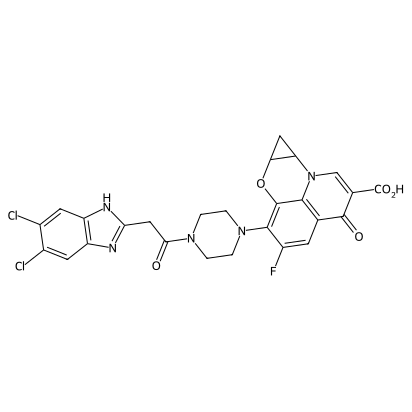 O=C(O)c1cn2c3c(c(N4CCN(C(=O)Cc5nc6cc(Cl)c(Cl)cc6[nH]5)CC4)c(F)cc3c1=O)OC1CC12